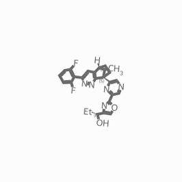 CC[C@@H](O)c1coc(-c2cncc([C@@]34CC[C@@H](c5cc(-c6c(F)cccc6F)nnc53)C4C)n2)n1